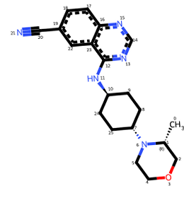 C[C@@H]1COCCN1[C@H]1CC[C@H](Nc2ncnc3ccc(C#N)cc23)CC1